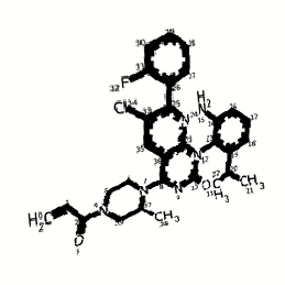 C=CC(=O)N1CCN(c2nc(=O)n(-c3c(N)cccc3C(C)C)c3nc(-c4ccccc4F)c(Cl)cc23)[C@@H](C)C1